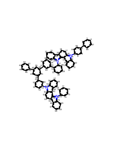 c1ccc(-c2ccc(-n3c4ccccc4c4c3ccc3c5ccccc5n(-c5ccccc5-c5cccc(-c6cc(-c7ccccc7)cc(-c7cccc(-n8c9ccccc9c9c8ccc8c%10ccccc%10n(-c%10ccccc%10)c89)c7)c6)c5)c34)cc2)cc1